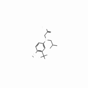 [C-]#[N+]c1ccc(N(CC(=O)O)CC(C)C)cc1C(F)(F)F